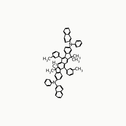 Cc1cccc(-c2c3c(cc4c(-c5cccc(C)c5)c5c(cc24)C(C)(C)c2cc(N(c4ccccc4)c4ccc6ccccc6c4)ccc2-5)C(C)(C)c2cc(N(c4ccccc4)c4ccc5ccccc5c4)ccc2-3)c1